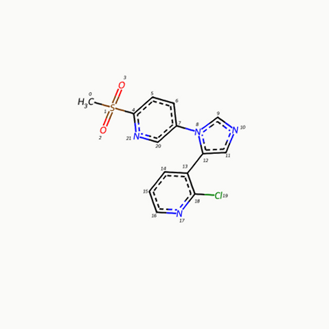 CS(=O)(=O)c1ccc(-n2cncc2-c2cccnc2Cl)cn1